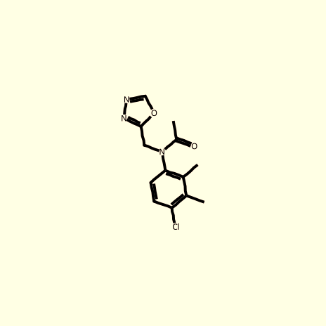 CC(=O)N(Cc1nnco1)c1ccc(Cl)c(C)c1C